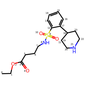 CCOC(=O)CCCNS(=O)(=O)c1ccccc1C1CCNCC1